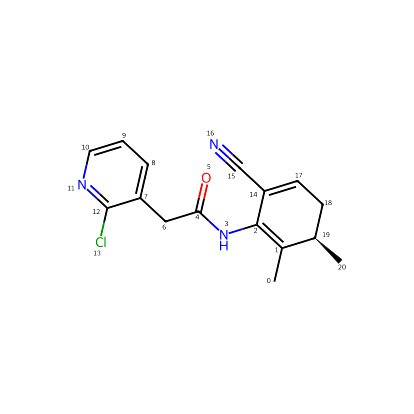 CC1=C(NC(=O)Cc2cccnc2Cl)C(C#N)=CC[C@H]1C